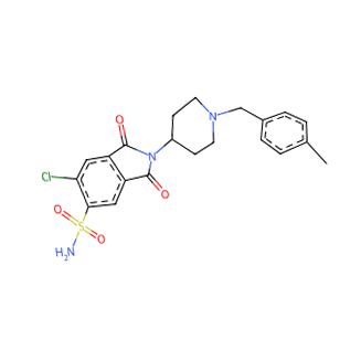 Cc1ccc(CN2CCC(N3C(=O)c4cc(Cl)c(S(N)(=O)=O)cc4C3=O)CC2)cc1